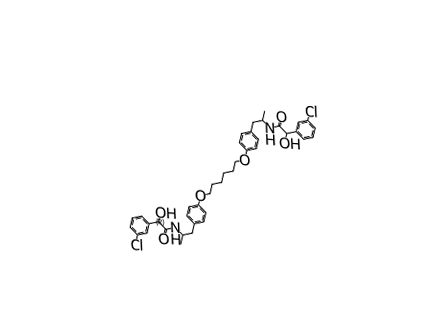 CC(Cc1ccc(OCCCCCCOc2ccc(CC(C)NC(=O)[C@H](O)c3cccc(Cl)c3)cc2)cc1)NC(=O)C(O)c1cccc(Cl)c1